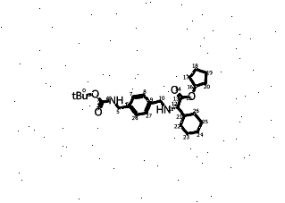 CC(C)(C)OC(=O)NCc1ccc(CN[C@H](C(=O)OC2CCCC2)C2CCCCC2)cc1